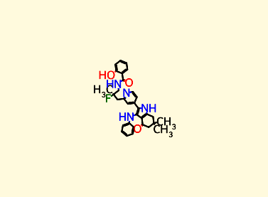 CC1(C)CC(=O)c2c([nH]c(-c3ccnc(CC(C)(F)CNC(=O)c4ccccc4O)c3)c2Nc2ccccc2)C1